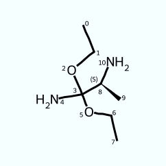 CCOC(N)(OCC)[C@H](C)N